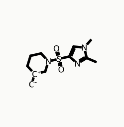 [CH2-][C+]1CCCN(S(=O)(=O)c2cn(C)c(C)n2)C1